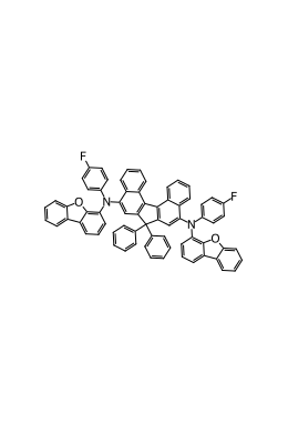 Fc1ccc(N(c2cc3c(c4ccccc24)-c2c(cc(N(c4ccc(F)cc4)c4cccc5c4oc4ccccc45)c4ccccc24)C3(c2ccccc2)c2ccccc2)c2cccc3c2oc2ccccc23)cc1